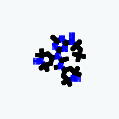 Cc1nc(NC(C)(C)CC(C)(C)C)nc(N(C2CC(C)(C)NC(C)(C)C2)C(C)N(C)C2CC(C)(C)NC(C)(C)C2)n1